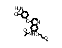 COCCOc1cc2nccc(Oc3ccc(N)c(Cl)c3)c2cc1NC(C)=O